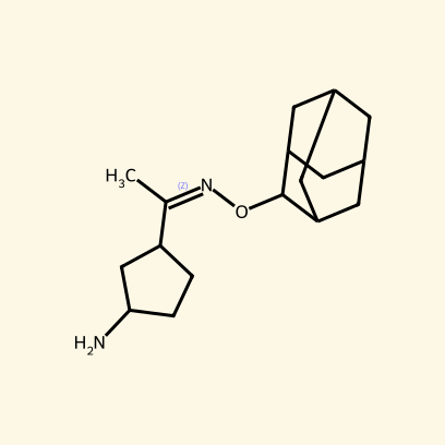 C/C(=N/OC1C2CC3CC(C2)CC1C3)C1CCC(N)C1